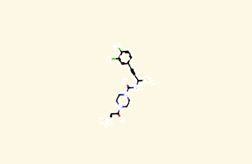 C=CC(=O)N1CCN(C(=O)NC(C)C#Cc2ccc(Cl)c(Cl)c2)CC1